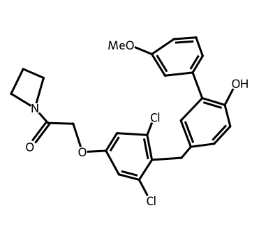 COc1cccc(-c2cc(Cc3c(Cl)cc(OCC(=O)N4CCC4)cc3Cl)ccc2O)c1